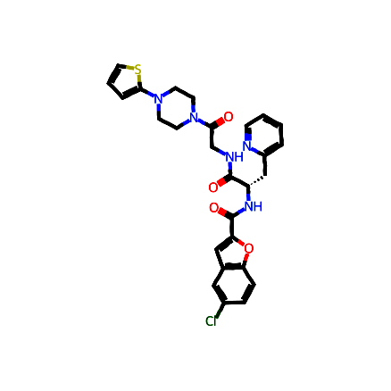 O=C(N[C@@H](Cc1ccccn1)C(=O)NCC(=O)N1CCN(c2cccs2)CC1)c1cc2cc(Cl)ccc2o1